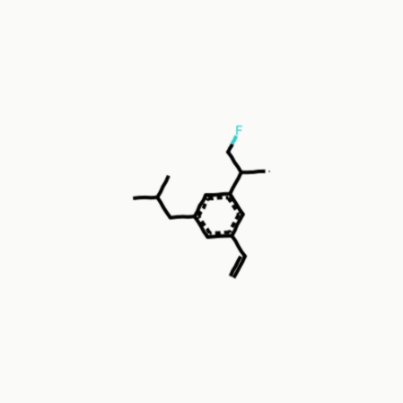 [CH2]C(CF)c1cc(C=C)cc(CC(C)C)c1